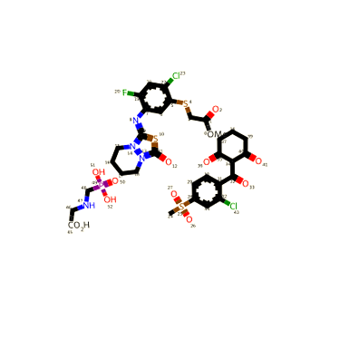 COC(=O)CSc1cc(/N=c2\sc(=O)n3n2CCCC3)c(F)cc1Cl.CS(=O)(=O)c1ccc(C(=O)C2C(=O)CCCC2=O)c(Cl)c1.O=C(O)CNCP(=O)(O)O